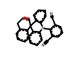 N#Cc1cccc(C#N)c1N1c2ccccc2C2(c3ccccc3Cc3ccccc32)c2ccccc21